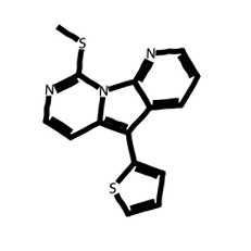 CSc1nccc2c(-c3cccs3)c3cccnc3n12